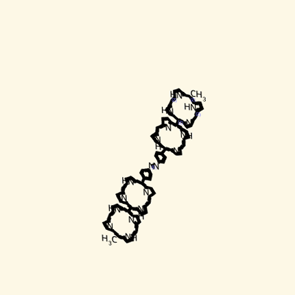 C/C1=c2\cc/c([nH]2)=C/C2=NC(=C(/c3c4nc(cc5ccc([nH]5)c(-c5ccc(/N=N/c6ccc(-c7c8nc(cc9ccc([nH]9)c(-c9c%10nc(cc%11ccc([nH]%11)c(C)c%11nc(cc%12ccc9[nH]%12)C=C%11)C=C%10)c9nc(cc%10ccc7[nH]%10)C=C9)C=C8)cc6)cc5)c5nc(cc6ccc3[nH]6)C=C5)C=C4)c3ccc([nH]3)/C=C3/C=CC1N3)/C=C2